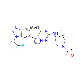 COc1nc(N[C@@H]2CCN(C3COC3)CC2(F)F)nn2ccc(-c3ccc4nnn([C@@H](C)C(F)F)c4c3)c12